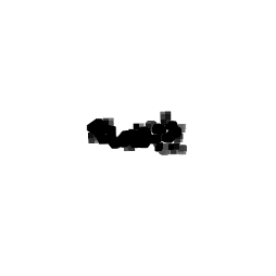 COC[C@H](c1cnn2cc(CC3C[C@H]4CC[C@H]4C3)nc2c1)N1CC(F)(F)CNC1=O